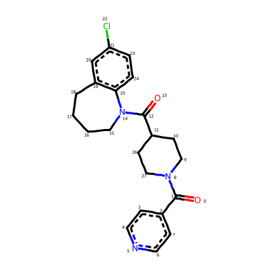 O=C(c1ccncc1)N1CCC(C(=O)N2CCCCc3cc(Cl)ccc32)CC1